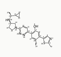 Cc1ncc(-c2cc(O)c(-c3ccc(N4CC[C@@H](N[C@@H](C)C5CC5)C4)nn3)cc2F)s1